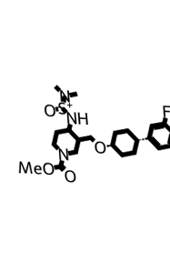 COC(=O)N1CCC(N[S+]([O-])N(C)C)C(CO[C@H]2CC[C@@H](c3cccc(F)c3)CC2)C1